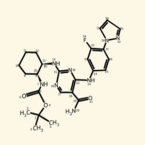 CC(C)(C)OC(=O)N[C@H]1CCCC[C@H]1Nc1ncc(C(N)=O)c(Nc2ccc(-n3cccn3)c(F)c2)n1